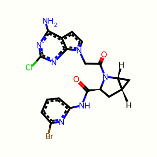 Nc1nc(Cl)nc2c1ccn2CC(=O)N1[C@@H]2C[C@@H]2C[C@H]1C(=O)Nc1cccc(Br)n1